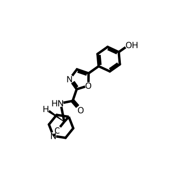 O=C(N[C@H]1CN2CCC1CC2)c1ncc(-c2ccc(O)cc2)o1